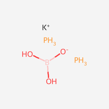 P.P.[K+].[O-]B(O)O